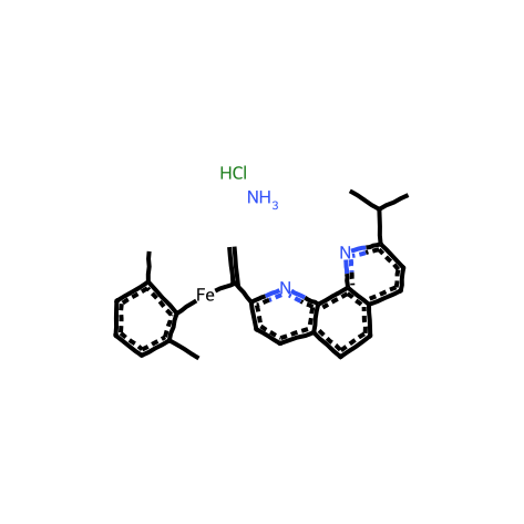 C=[C]([Fe][c]1c(C)cccc1C)c1ccc2ccc3ccc(C(C)C)nc3c2n1.Cl.N